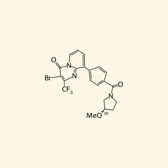 CO[C@@H]1CCN(C(=O)c2ccc(-c3cccn4c(=O)c(Br)c(C(F)(F)F)nc34)cc2)C1